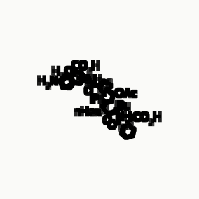 CCCCCCN(C(=O)C(NC(=O)[C@H]1CCCCN1CC(=O)O)C(C)CC)C(CC(OC(C)=O)c1nc(C(=O)NC(Cc2ccc(N)cc2)CC(C)(C)C(=O)O)cs1)C(C)C